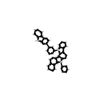 c1ccc(-n2c3ccc4c5ccccc5n(-c5cccc(-c6ccc7c(c6)oc6ccccc67)c5)c4c3c3ccc4ccccc4c32)cc1